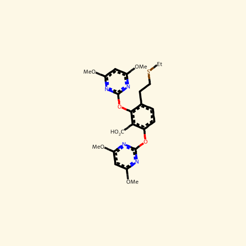 CCSCCc1ccc(Oc2nc(OC)cc(OC)n2)c(C(=O)O)c1Oc1nc(OC)cc(OC)n1